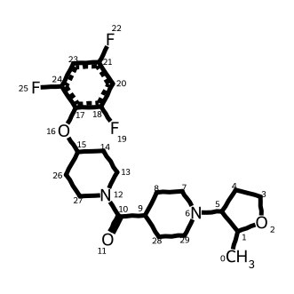 CC1OCCC1N1CCC(C(=O)N2CCC(Oc3c(F)cc(F)cc3F)CC2)CC1